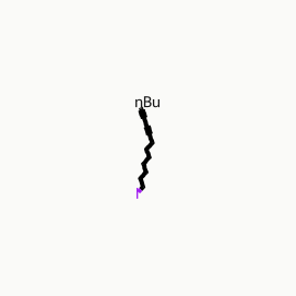 CCCCC#CC#CCCCCCCCI